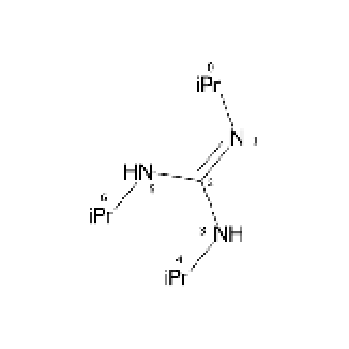 CC(C)N=C(NC(C)C)NC(C)C